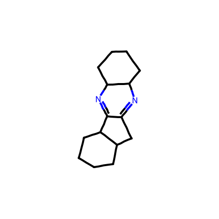 C1CCC2C3=NC4CCCCC4N=C3CC2C1